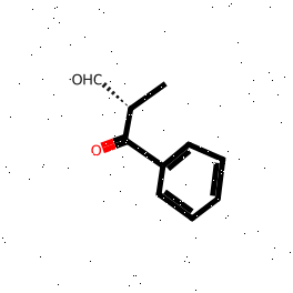 C[C@@H]([C]=O)C(=O)c1ccccc1